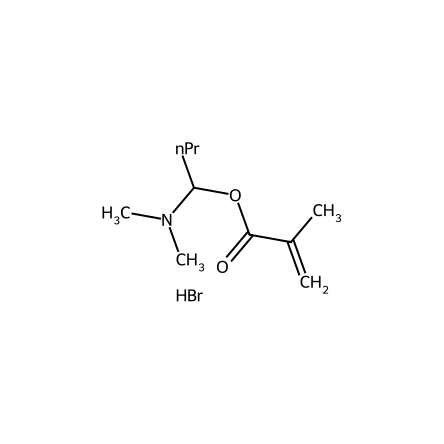 Br.C=C(C)C(=O)OC(CCC)N(C)C